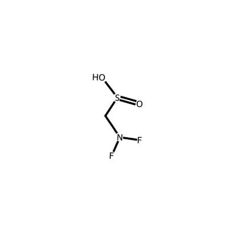 O=S(O)CN(F)F